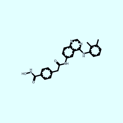 Cc1cccc(Nc2ncnc3ccc(NC(=O)Cc4ccc(C(=O)NO)cc4)cc23)c1C